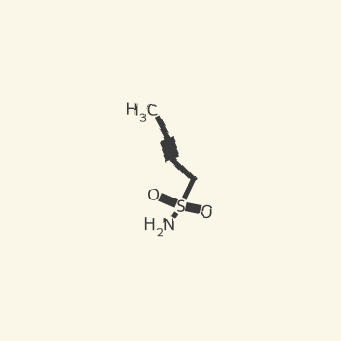 CC#CCS(N)(=O)=O